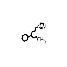 CCCC(CCCn1ccnc1)C1CCCCC1